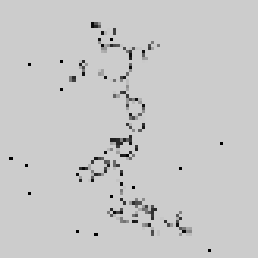 O=C(O)CCC(NC(=O)NC(CCCCNC(=O)[C@H](Cc1ccc2ccccc2c1)NC(=O)c1ccc2c(c1)CN(C(=O)CN1CCN(CC(=O)O)CCN(CC(=O)O)CCN(CC(=O)O)CC1)CC2)C(=O)O)C(=O)O